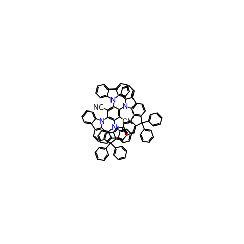 N#Cc1c(-n2c3ccccc3c3ccccc32)c(-n2c3ccccc3c3ccc4c(c32)-c2ccccc2C4(c2ccccc2)c2ccccc2)c(C#N)c(-n2c3ccccc3c3ccccc32)c1-n1c2ccccc2c2ccc3c(c21)-c1ccccc1C3(c1ccccc1)c1ccccc1